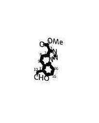 COC(=O)c1nnn2c1ccc1c(CC=O)cccc12